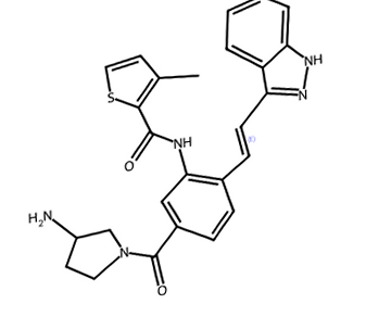 Cc1ccsc1C(=O)Nc1cc(C(=O)N2CCC(N)C2)ccc1/C=C/c1n[nH]c2ccccc12